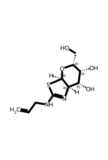 C=CCNC1=N[C@@H]2[C@@H](O)[C@@H](O)[C@@H](CO)O[C@@H]2S1